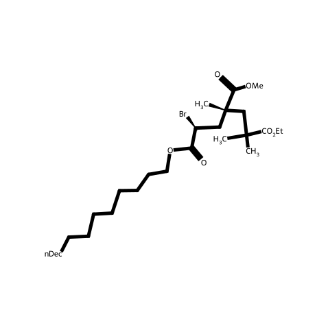 CCCCCCCCCCCCCCCCCCOC(=O)[C@@H](Br)C[C@@](C)(CC(C)(C)C(=O)OCC)C(=O)OC